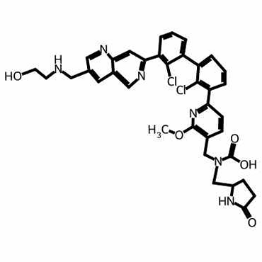 COc1nc(-c2cccc(-c3cccc(-c4cc5ncc(CNCCO)cc5cn4)c3Cl)c2Cl)ccc1CN(CC1CCC(=O)N1)C(=O)O